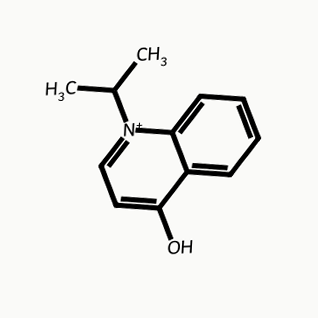 CC(C)[n+]1ccc(O)c2ccccc21